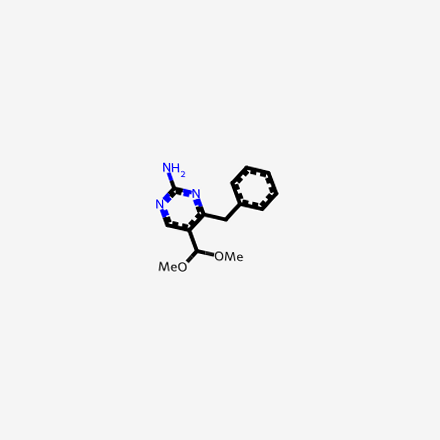 COC(OC)c1cnc(N)nc1Cc1ccccc1